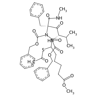 CNC(=O)[C@@](Cc1ccccc1)(C(=O)[C@@H](NC(=O)OCc1ccccc1)C(C)C)N(C(=O)OCc1ccccc1)C(=O)C(CCCCC(=O)OC)SC(C)=O